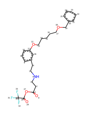 O=C(CCNCCc1cccc(OCCCCCOCc2ccccc2)c1)OC(=O)C(F)(F)F